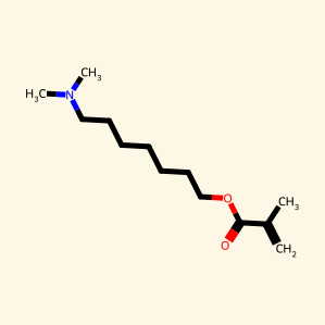 C=C(C)C(=O)OCCCCCCCN(C)C